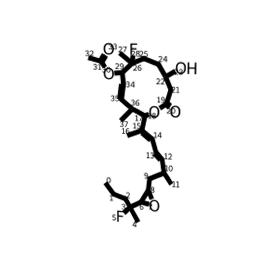 CCCC(C)(F)C1OC1CC(C)/C=C/C=C(\C)C1OC(=O)CC(O)CCC(C)(F)C(OC(C)=O)/C=C/C1C